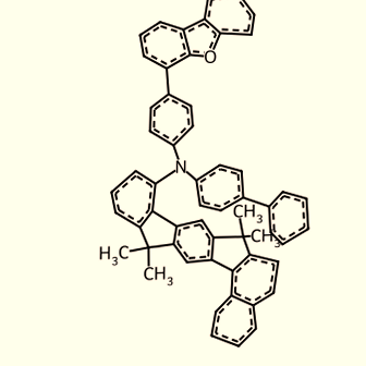 CC1(C)c2cc3c(cc2-c2c(N(c4ccc(-c5ccccc5)cc4)c4ccc(-c5cccc6c5oc5ccccc56)cc4)cccc21)C(C)(C)c1ccc2ccccc2c1-3